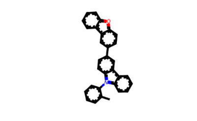 Cc1ccccc1-n1c2ccccc2c2cc(-c3ccc4oc5ccccc5c4c3)ccc21